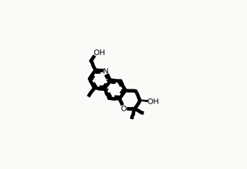 Cc1cc(CO)nc2cc3c(cc12)OC(C)(C)[C@H](O)C3